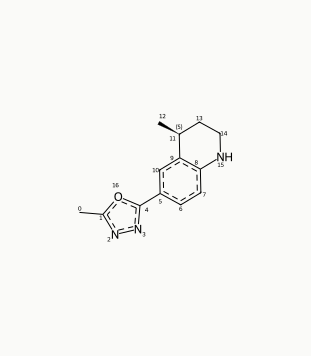 Cc1nnc(-c2ccc3c(c2)[C@@H](C)CCN3)o1